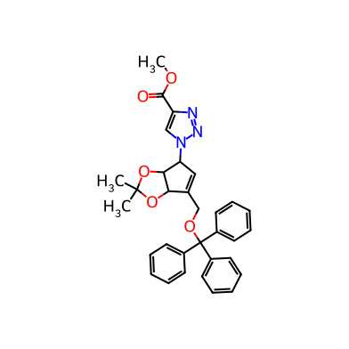 COC(=O)c1cn(C2C=C(COC(c3ccccc3)(c3ccccc3)c3ccccc3)C3OC(C)(C)OC32)nn1